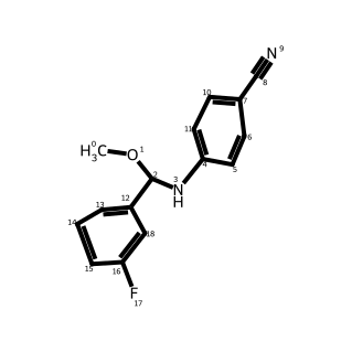 COC(Nc1ccc(C#N)cc1)c1cccc(F)c1